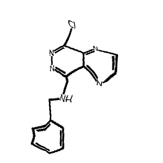 Clc1nnc(NCc2ccccc2)c2nccnc12